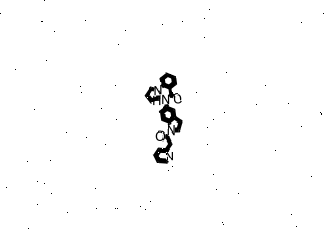 O=C(Nc1ccc2c(c1)CCN2C(=O)Cc1ccccn1)c1ccccc1N1CCCC1